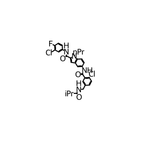 CCCn1c(C(=O)Nc2ccc(F)c(Cl)c2)cc2cc(NC(=O)c3cc(CNC(=O)C(C)C)ccc3Cl)ccc21